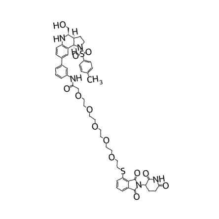 Cc1ccc(S(=O)(=O)N2CC[C@@H]3[C@H](CO)Nc4ccc(-c5cccc(NC(=O)COCCOCCOCCOCCOCCSc6cccc7c6C(=O)N(C6CCC(=O)NC6=O)C7=O)c5)cc4[C@@H]32)cc1